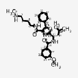 CNCCCCNC(=O)c1nc([C@H](CC(C)C)NC(=O)c2cccc(OC)c2)oc1-c1ccccc1